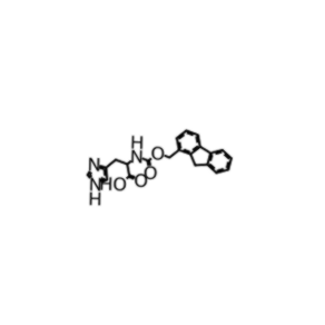 O=C(NC(Cc1c[nH]cn1)C(=O)O)OCc1cccc2c1Cc1ccccc1-2